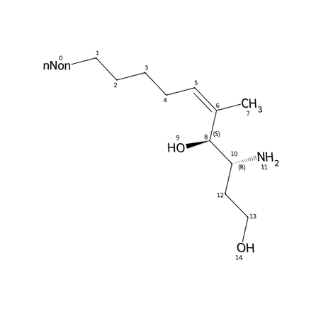 CCCCCCCCCCCCCC=C(C)[C@H](O)[C@H](N)CCO